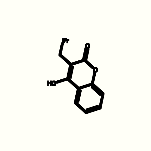 CC(C)Cc1c(O)c2ccccc2oc1=O